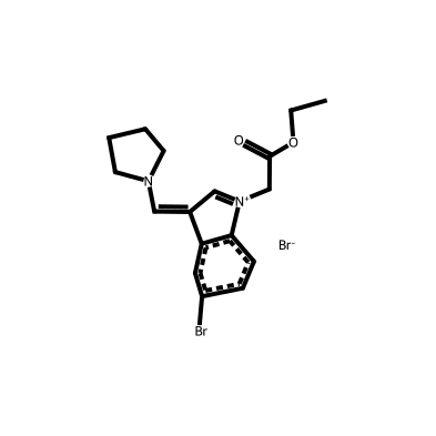 CCOC(=O)C[N+]1=C/C(=C\N2CCCC2)c2cc(Br)ccc21.[Br-]